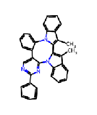 Cc1c2ccccc2n2c3ccccc3c3cnc(-c4ccccc4)nc3n3c4ccccc4c(C)c3c12